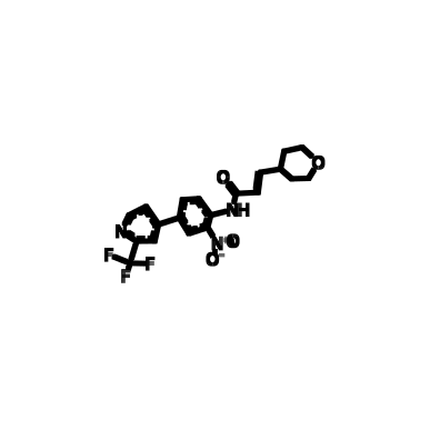 O=C(C=CC1CCOCC1)Nc1ccc(-c2ccnc(C(F)(F)F)c2)cc1[N+](=O)[O-]